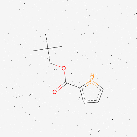 CC(C)(C)COC(=O)c1ccc[pH]1